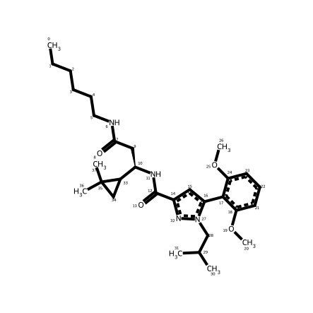 CCCCCCNC(=O)C[C@@H](NC(=O)c1cc(-c2c(OC)cccc2OC)n(CC(C)C)n1)C1CC1(C)C